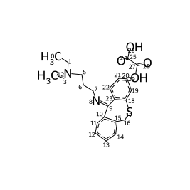 CCN(CC)CCCN=C1c2ccccc2CSc2ccccc21.O=C(O)C(=O)O